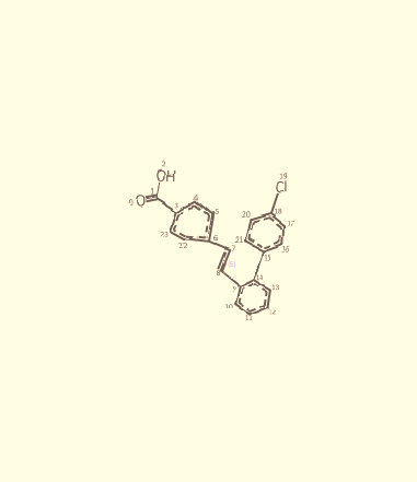 O=C(O)c1ccc(/C=C/c2ccccc2-c2ccc(Cl)cc2)cc1